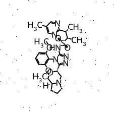 COc1cccc(OC)c1-n1c(NS(=O)(=O)[C@H](C)[C@H](C)c2ncc(C)cn2)nnc1[C@H]1CN2CCC[C@H]2CO1